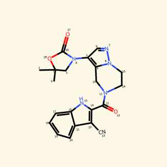 CC1(C)CN(c2cnn3c2CN(C(=O)c2[nH]c4ccccc4c2C#N)CC3)C(=O)O1